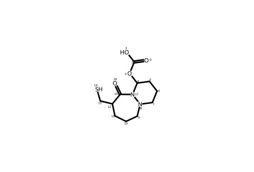 O=C(O)OC1CCCN2CCCC(CS)C(=O)N12